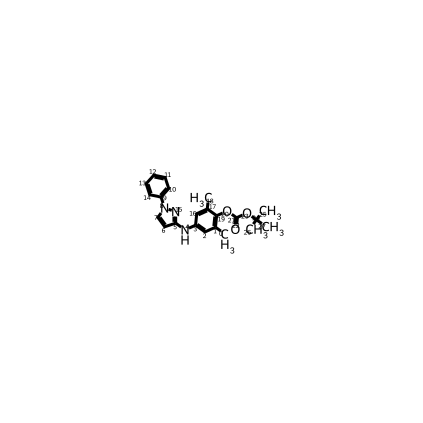 Cc1cc(Nc2ccn(-c3ccccc3)n2)cc(C)c1OC(=O)OC(C)(C)C